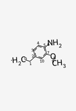 [CH2]Cc1ccc(N)c(OC)c1